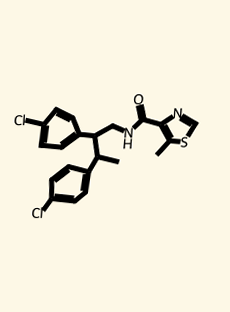 Cc1scnc1C(=O)NCC(c1ccc(Cl)cc1)C(C)c1ccc(Cl)cc1